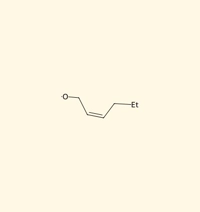 CCC/C=C\C[O]